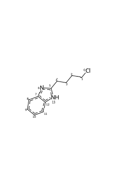 ClCCCCc1nc2ccccc2[nH]1